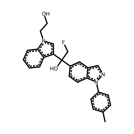 Cc1ccc(-n2ncc3cc(C(O)(CF)c4cn(CCO)c5ccccc45)ccc32)cc1